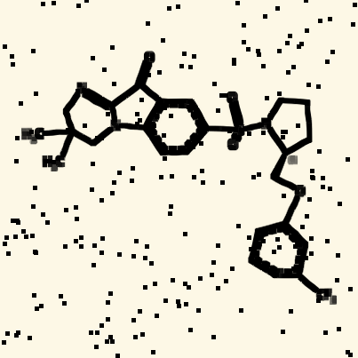 CC1(C)CN=C2C(=O)c3cc(S(=O)(=O)N4CCC[C@H]4COc4cccc(C(F)(F)F)c4)ccc3N2C1